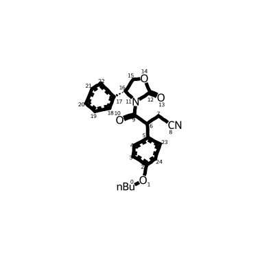 CCCCOc1ccc(C(CC#N)C(=O)N2C(=O)OC[C@H]2c2ccccc2)cc1